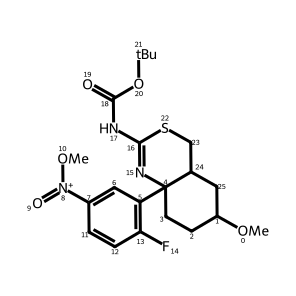 COC1CCC2(c3cc([N+](=O)OC)ccc3F)N=C(NC(=O)OC(C)(C)C)SCC2C1